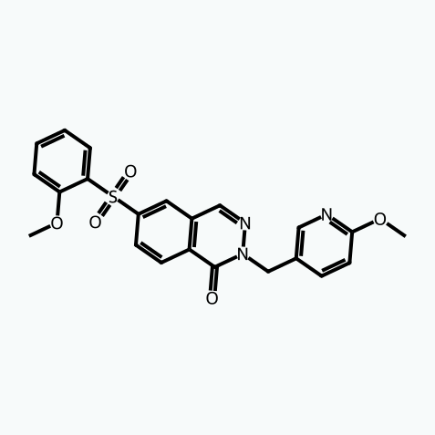 COc1ccc(Cn2ncc3cc(S(=O)(=O)c4ccccc4OC)ccc3c2=O)cn1